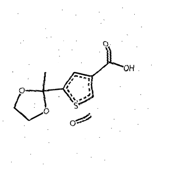 C=O.CC1(c2cc(C(=O)O)cs2)OCCO1